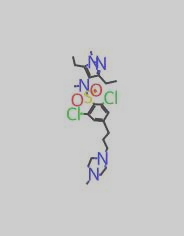 CCc1nn(C)c(CC)c1N(C)S(=O)(=O)c1c(Cl)cc(CCCN2CCN(C)CC2)cc1Cl